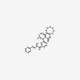 O=C(/C=C/c1ccccc1)Nc1cccc(C(c2c(O)c3c(oc2=O)CCCCCC3)C2CC2)c1